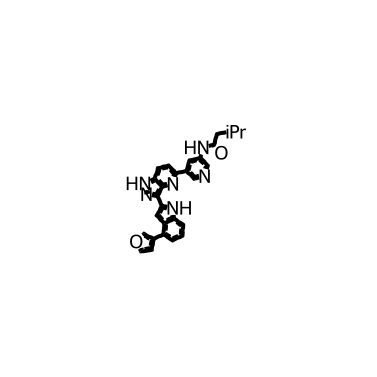 CC(C)CC(=O)Nc1cncc(-c2ccc3[nH]nc(-c4cc5c(-c6ccoc6)cccc5[nH]4)c3n2)c1